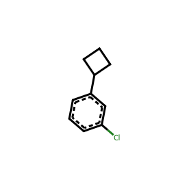 Clc1cccc(C2CCC2)c1